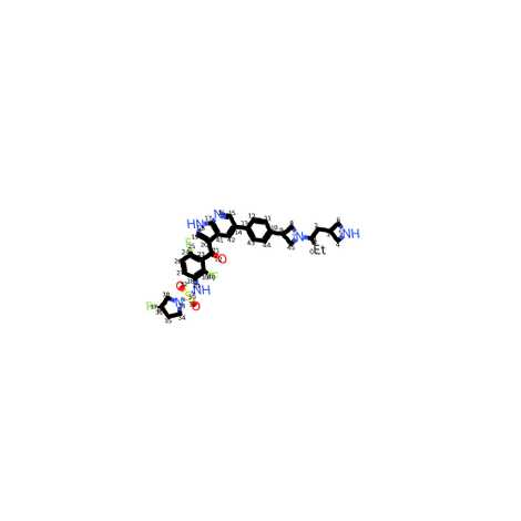 CCC(CC1CNC1)N1CC(c2ccc(-c3cnc4[nH]cc(C(=O)c5c(F)ccc(NS(=O)(=O)N6CC[C@@H](F)C6)c5F)c4c3)cc2)C1